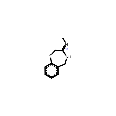 C/N=C1\CSc2ccccc2CN1